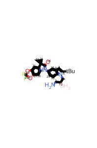 BC(CN)Cn1c(C(C)(C)C)cc2cc(NC(=O)C3(c4ccc5c(c4)OC(F)(F)O5)CC3)ccc21